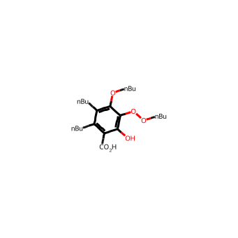 CCCCOOc1c(O)c(C(=O)O)c(CCCC)c(CCCC)c1OCCCC